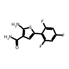 NC(=O)c1cc(-c2c(F)cc(F)cc2F)sc1N